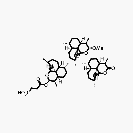 CO[C@H]1O[C@@H]2O[C@]3(C)CC[C@H]4[C@H](C)CC[C@@H]([C@H]1C)C24OO3.C[C@@H]1CC[C@H]2[C@@H](C)C(=O)O[C@@H]3O[C@]4(C)CC[C@@H]1[C@]32OO4.C[C@H]1[C@@H](OC(=O)CCC(=O)O)O[C@@H]2O[C@@]3(C)CC[C@H]4[C@H](C)CC[C@@H]1[C@@]24OO3